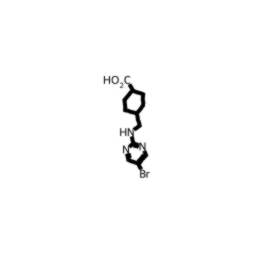 O=C(O)C1CCC(CNc2ncc(Br)cn2)CC1